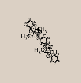 CCC(C)(Oc1ccccc1)[PH](=O)Oc1cccc(O[PH](=O)C(CC)(CC)Oc2ccccc2)c1